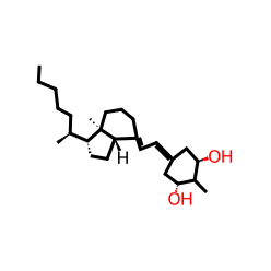 CCCCC[C@H](C)[C@H]1CC[C@H]2/C(=C/C=C3C[C@@H](O)C(C)[C@H](O)C3)CCC[C@]12C